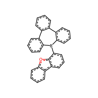 c1ccc2c(c1)B(c1cccc3c1oc1ccccc13)c1ccccc1-c1ccccc1-2